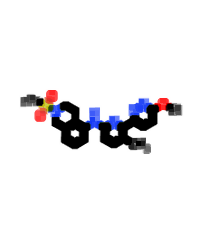 CCCS(=O)(=O)N1CCc2c(cccc2Nc2ccc(C)c(-c3ccc(OCC)nn3)n2)C1